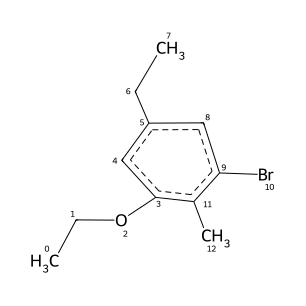 CCOc1cc(CC)cc(Br)c1C